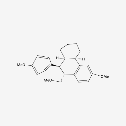 COC[C@H]1c2ccc(OC)cc2[C@@H]2CCCC[C@@H]2[C@@H]1c1ccc(OC)cc1